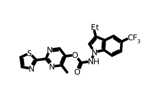 CCc1cn(NC(=O)Oc2cnc(-c3nccs3)nc2C)c2ccc(C(F)(F)F)cc12